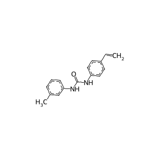 C=Cc1ccc(NC(=O)Nc2cccc(C)c2)cc1